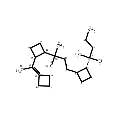 CCC(C)(CCN)[C@@H]1CCC1CCC(C)(C)C1CCC1C(C)=C1CCC1